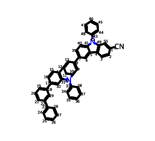 N#Cc1ccc2c3cc(C4=CC5CC(=C4)c4ccc(-c6cccc(-c7ccccc7)c6)cc4N5c4ccccc4)ccc3n(-c3ccccc3)c2c1